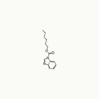 CCCCCCOC(=O)n1cnc2ccccc21